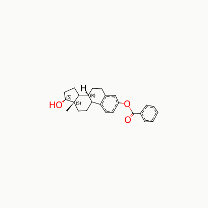 C[C@]12CCC3c4ccc(OC(=O)c5ccccc5)cc4CC[C@H]3C1CC[C@@H]2O